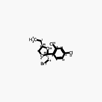 CC[C@@H]1CO[C@](CBr)(c2ccc(Cl)cc2Cl)O1